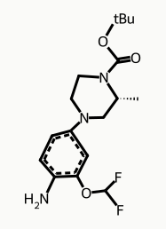 C[C@@H]1CN(c2ccc(N)c(OC(F)F)c2)CCN1C(=O)OC(C)(C)C